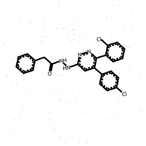 O=C(Cc1ccccc1)NNc1cc(-c2ccc(Cl)cc2)c(-c2ccccc2Cl)nn1